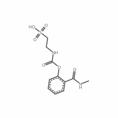 CNC(=O)c1ccccc1OC(=O)NCCS(=O)(=O)O